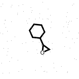 C1CCC([C]2CO2)CC1